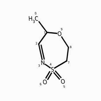 CC1C=NS(=O)(=O)CCO1